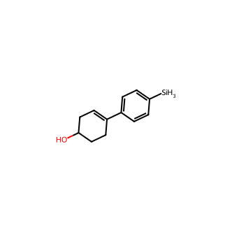 OC1CC=C(c2ccc([SiH3])cc2)CC1